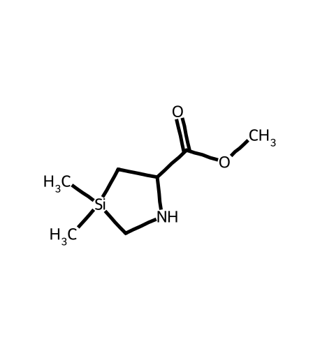 COC(=O)C1C[Si](C)(C)CN1